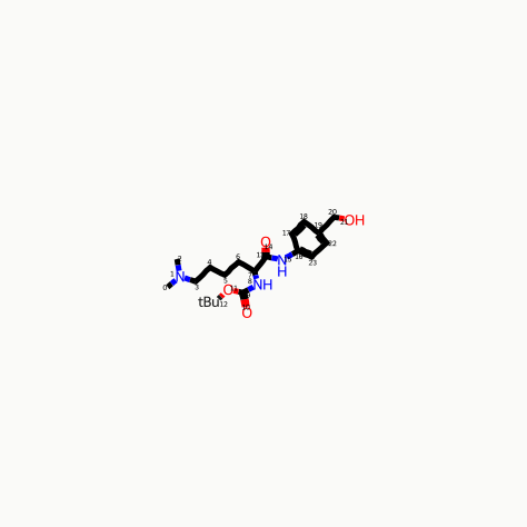 CN(C)CCCCC(NC(=O)OC(C)(C)C)C(=O)Nc1ccc(CO)cc1